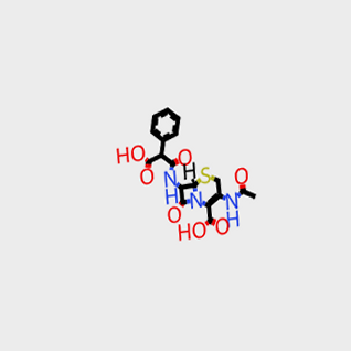 CC(=O)NC1=C(C(=O)O)N2C(=O)C(NC(=O)C(C(=O)O)c3ccccc3)[C@@H]2SC1